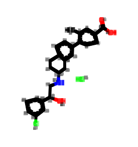 Cc1cc(C(=O)O)ccc1-c1ccc2c(c1)C[C@@H](NC[C@@H](O)c1cccc(Cl)c1)CC2.Cl